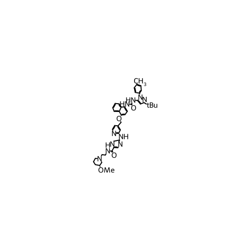 CO[C@H]1CCCN(CCNC(=O)c2cnc(Nc3cc(COc4ccc(NC(=O)Nc5cc(C(C)(C)C)nn5-c5ccc(C)cc5)c5ccccc45)ccn3)cn2)C1